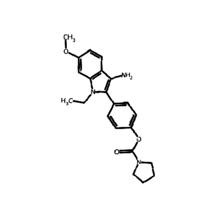 CCn1c(-c2ccc(OC(=O)N3CCCC3)cc2)c(N)c2ccc(OC)cc21